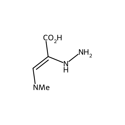 CN/C=C(\NN)C(=O)O